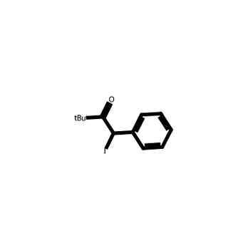 CC(C)(C)C(=O)C(I)c1ccccc1